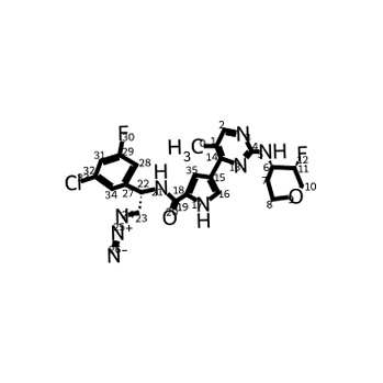 Cc1cnc(N[C@H]2CCOC[C@H]2F)nc1-c1c[nH]c(C(=O)N[C@H](CN=[N+]=[N-])c2cc(F)cc(Cl)c2)c1